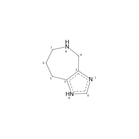 c1nc2c([nH]1)CCCNC2